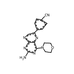 N#Cc1ccc(-c2cnc3nc(N)nc(N4CCOCC4)c3n2)cc1